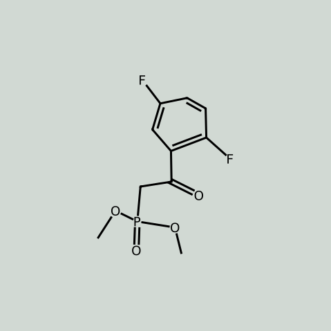 COP(=O)(CC(=O)c1cc(F)ccc1F)OC